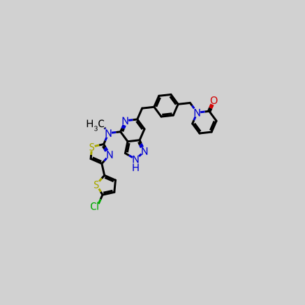 CN(c1nc(-c2ccc(Cl)s2)cs1)c1nc(Cc2ccc(Cn3ccccc3=O)cc2)cc2n[nH]cc12